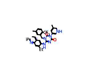 C/C=C1/C=C(Nc2nc(=O)n(C3=CNCC(C)=C3)c(=O)n2Cc2cc(C)ccc2C(F)(F)F)C(CC)=C/C1=N/C(C)C